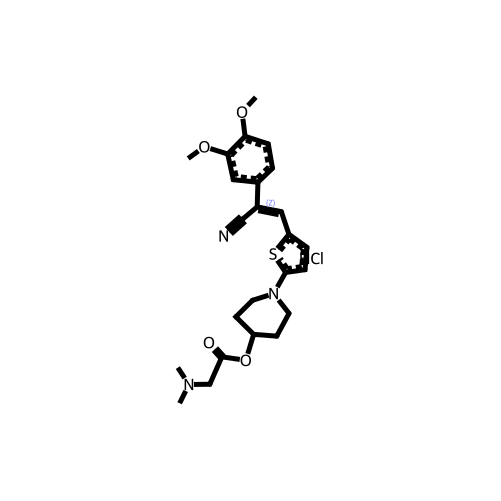 COc1ccc(/C(C#N)=C/c2ccc(N3CCC(OC(=O)CN(C)C)CC3)s2)cc1OC.Cl